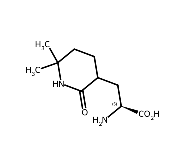 CC1(C)CCC(C[C@H](N)C(=O)O)C(=O)N1